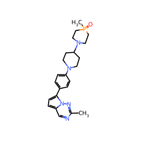 Cc1ncc2ccc(-c3ccc(N4CCC(N5CCP(C)(=O)CC5)CC4)cc3)n2n1